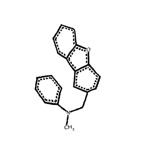 CN(Cc1ccc2oc3ccccc3c2c1)c1ccccc1